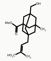 COC(=O)C12CC3(C)CC(CO)(CC(CC=C(C)C(=O)O)(C3)C1)C2